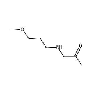 COCCCNCC(C)=O